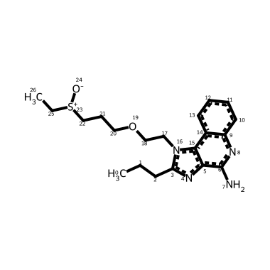 CCCc1nc2c(N)nc3ccccc3c2n1CCOCCC[S+]([O-])CC